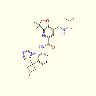 CC1CC(c2cccc(NC(=O)c3cc(CN[C@@H](C)C(C)C)c4c(n3)C(C)(C)CO4)c2)(c2nncn2C)C1